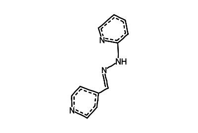 C(=N\Nc1ccccn1)/c1ccncc1